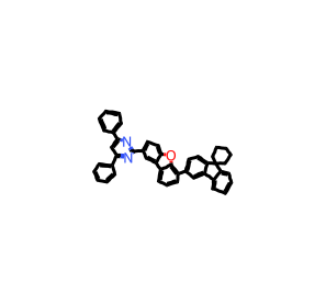 c1ccc(-c2cc(-c3ccccc3)nc(-c3ccc4oc5c(-c6ccc7c(c6)-c6ccccc6C76CCCCC6)cccc5c4c3)n2)cc1